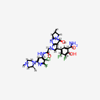 CC1Cc2nc3c(c(-c4cc(C(N)=O)c(O)c(F)c4F)cn3CC(=O)Nc3cc(N4CCN(C)C[C@@H]4C)nc(F)c3Cl)c(=O)n2C1